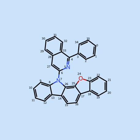 c1ccc(-c2nc(-n3c4ccccc4c4ccc5c6ccccc6oc5c43)cc3ccccc23)cc1